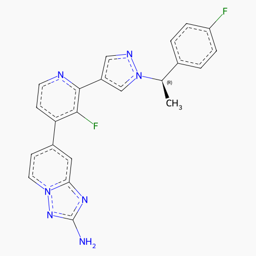 C[C@H](c1ccc(F)cc1)n1cc(-c2nccc(-c3ccn4nc(N)nc4c3)c2F)cn1